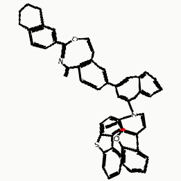 C=Cc1oc2ccccc2c1/C=C\N(c1ccc2sc3ccccc3c2c1)c1cc(-c2ccc3c(c2)/C=C\O/C(c2ccc4c(c2)CCCC4)=N\C3=C)cc2ccccc12